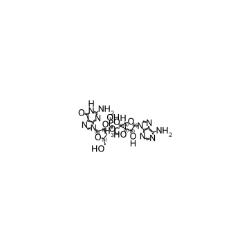 C[C@@]1(OP(=O)(O)O[C@@H]2C[C@@H](CO)O[C@H]2n2cnc3c(=O)[nH]c(N)nc32)[C@H]2O[C@@H](n3cnc4c(N)ncnc43)[C@H](O)[C@]21O